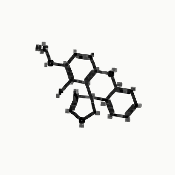 COc1ccc2c(c1F)C1(COC=N1)c1ccccc1O2